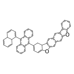 C1=CC2C=CC=C(c3c4ccccc4c(C4=CC=C5Oc6cc7cc8oc9ccccc9c8cc7cc6C5C4)c4ccccc34)C2C=C1